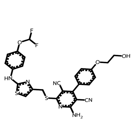 N#Cc1c(N)nc(SCc2csc(Nc3ccc(OC(F)F)cc3)n2)c(C#N)c1-c1ccc(OCCO)cc1